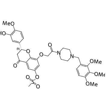 COc1ccc([C@H]2CC(=O)c3cc(OS(C)(=O)=O)cc(OCC(=O)N4CCN(Cc5ccc(OC)c(OC)c5OC)CC4)c3O2)cc1O